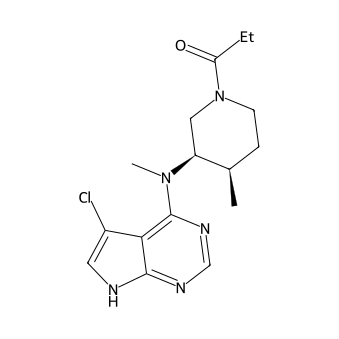 CCC(=O)N1CC[C@@H](C)[C@@H](N(C)c2ncnc3[nH]cc(Cl)c23)C1